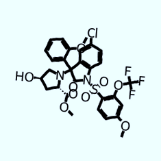 COC(=O)[C@@H]1C[C@@H](O)CN1C1(c2ccccc2OC)C(=O)N(S(=O)(=O)c2ccc(OC)cc2OC(F)(F)F)c2ccc(Cl)cc21